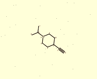 C#CC1CCN(C(C)C)CC1